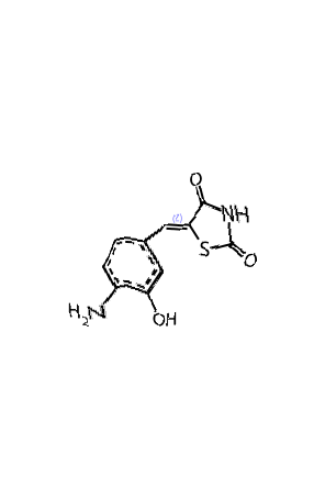 Nc1ccc(/C=C2\SC(=O)NC2=O)cc1O